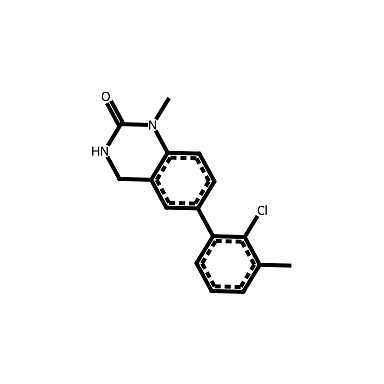 Cc1cccc(-c2ccc3c(c2)CNC(=O)N3C)c1Cl